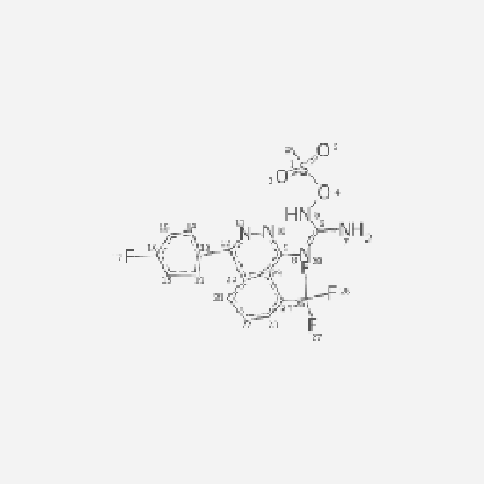 CS(=O)(=O)ONC(N)=Nc1nnc(-c2ccc(F)cc2)c2cccc(C(F)(F)F)c12